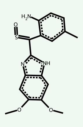 COc1cc2nc(C(=S=O)c3cc(C)ccc3N)[nH]c2cc1OC